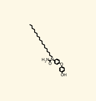 CCCCCCCCCCCCCCCCCCN(C(N)=O)c1ccc(Oc2ccc(O)cc2)cc1